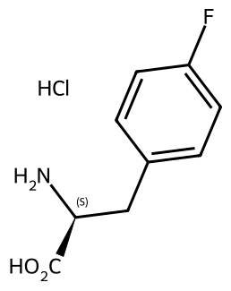 Cl.N[C@@H](Cc1ccc(F)cc1)C(=O)O